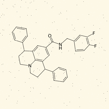 O=C(NCc1ccc(F)c(F)c1)c1cc2c3c(c1)C(c1ccccc1)CCN3CCC2c1ccccc1